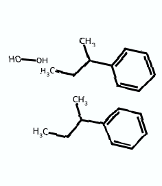 CCC(C)c1ccccc1.CCC(C)c1ccccc1.OO